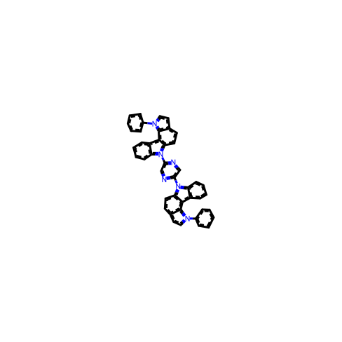 c1ccc(-n2ccc3ccc4c(c5ccccc5n4-c4cnc(-n5c6ccccc6c6c7c(ccc65)ccn7-c5ccccc5)cn4)c32)cc1